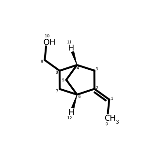 C/C=C1/C[C@@H]2C[C@H]1CC2CO